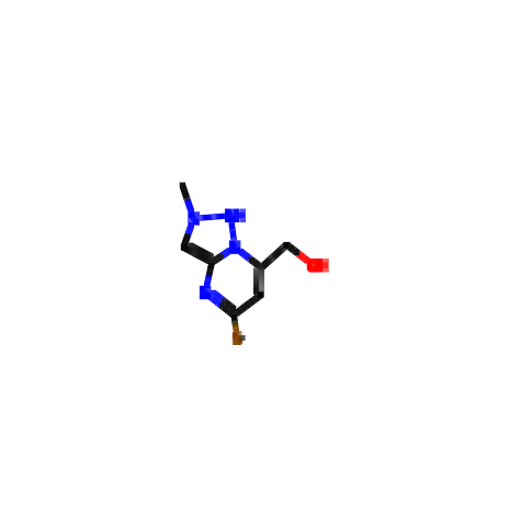 CN1C=C2N=C([S])C=C(CO)N2N1